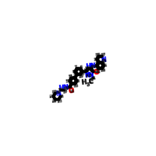 CCn1nc(-c2cccc(-c3ccc(C(=O)NCCN4CCCCC4)cc3)c2)cc(Nc2cccc3ncccc23)c1=O